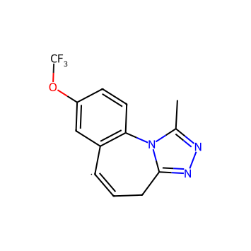 Cc1nnc2n1-c1ccc(OC(F)(F)F)cc1[C]=CC2